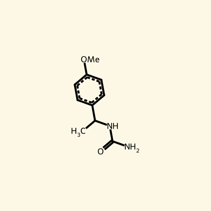 COc1ccc(C(C)NC(N)=O)cc1